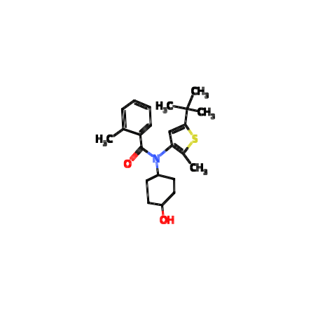 Cc1ccccc1C(=O)N(c1cc(C(C)(C)C)sc1C)C1CCC(O)CC1